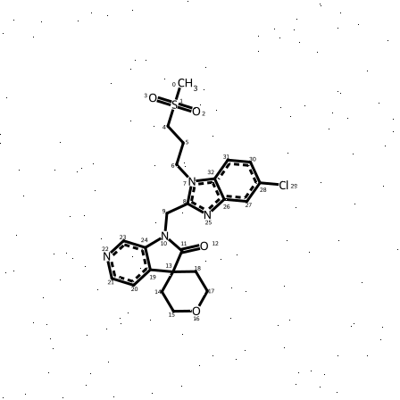 CS(=O)(=O)CCCn1c(CN2C(=O)C3(CCOCC3)c3ccncc32)nc2cc(Cl)ccc21